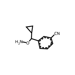 N#Cc1cccc(C(ON)C2CC2)c1